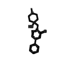 CN1CCC(O)(Cn2ncc(-c3ccccc3)cc2=O)CC1